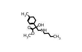 CCCCNC[C@](O)(C(=O)OC)C1=CC=C(C)CC1